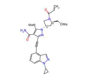 C=CC(=O)N1C[C@@H](n2nc(C#Cc3cccc4c3cnn4C3CC3)c(C(N)=O)c2NC)C[C@@H]1COC